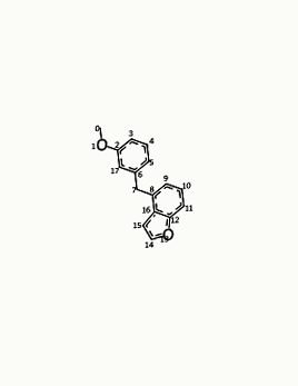 COc1cccc(Cc2cccc3occc23)c1